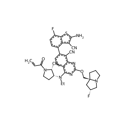 C=CC(=O)N1CC[C@@H](N(CC)c2nc(OC[C@@]34CCCN3C[C@H](F)C4)nc3c(C#N)c(-c4ccc(F)c5sc(N)c(C#N)c45)ccc23)[C@H]1C